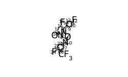 CN(C(=O)CN1N=C(c2ccc(F)cc2F)CCC1=O)c1ccc(F)c(C(F)(F)F)c1